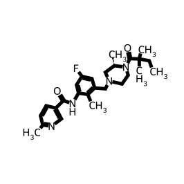 CCC(C)(C)C(=O)N1CCN(Cc2cc(F)cc(NC(=O)c3ccc(C)nc3)c2C)C[C@@H]1C